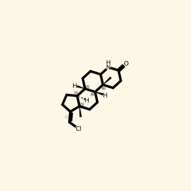 C[C@]12CCC(=O)NC1CC[C@@H]1[C@H]2CC[C@]2(C)/C(=C\Cl)CC[C@@H]12